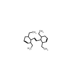 CCC1C=CCC(CC)C1/C=C/C1C(CC)C=CCC1CC